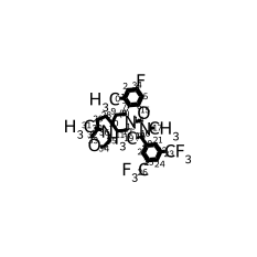 Cc1cc(F)ccc1[C@H]1CC2(CCN1C(=O)N(C)[C@H](C)c1cc(C(F)(F)F)cc(C(F)(F)F)c1)CCC1(C)COCCN12